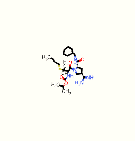 CCCCSC(C)(C)[C@@H](NC(=O)OC(C)C)C(=O)N1C[C@H](C(=N)N)C[C@H]1C(=O)NCC1CCCCC1